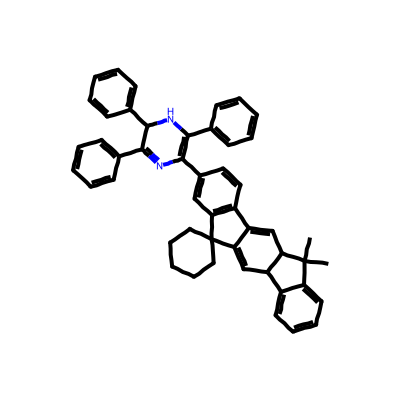 CC1(C)c2ccccc2C2C=C3C(=CC21)c1ccc(C2=C(c4ccccc4)NC(c4ccccc4)C(c4ccccc4)=N2)cc1C31CCCCC1